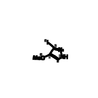 COc1c[nH]nc1I